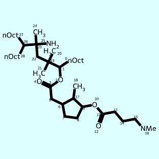 CCCCCCCCC(OC(=O)CC1CCC(OC(=O)CCCNC)C1C)C(C)(C)CC(C)(N)C(CCCCCCCC)CCCCCCCC